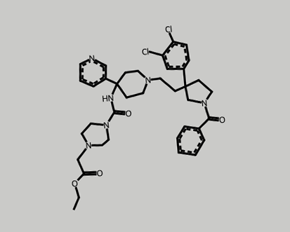 CCOC(=O)CN1CCN(C(=O)NC2(c3cccnc3)CCN(CCC3(c4ccc(Cl)c(Cl)c4)CCN(C(=O)c4ccccc4)C3)CC2)CC1